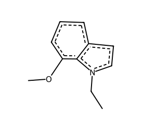 CCn1ccc2cccc(OC)c21